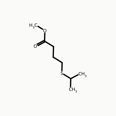 COC(=O)CCCSC(C)C